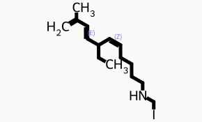 C=C(C)/C=C/C(/C=C\CCCCNCI)CC